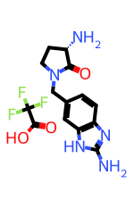 Nc1nc2ccc(CN3CC[C@H](N)C3=O)cc2[nH]1.O=C(O)C(F)(F)F